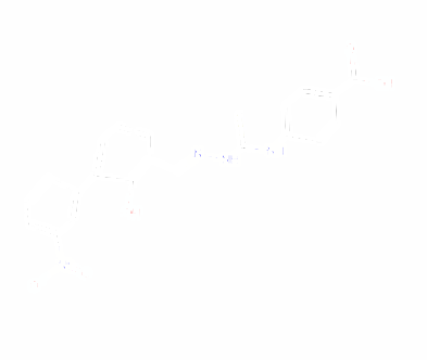 O=C(O)c1ccc(NC(=S)NN=Cc2cccc(-c3cccc([N+](=O)[O-])c3)c2O)cc1